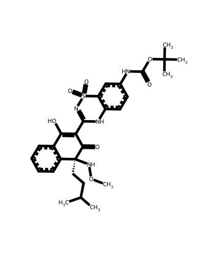 CON[C@]1(CCC(C)C)C(=O)C(C2=NS(=O)(=O)c3cc(NC(=O)OC(C)(C)C)ccc3N2)=C(O)c2ccccc21